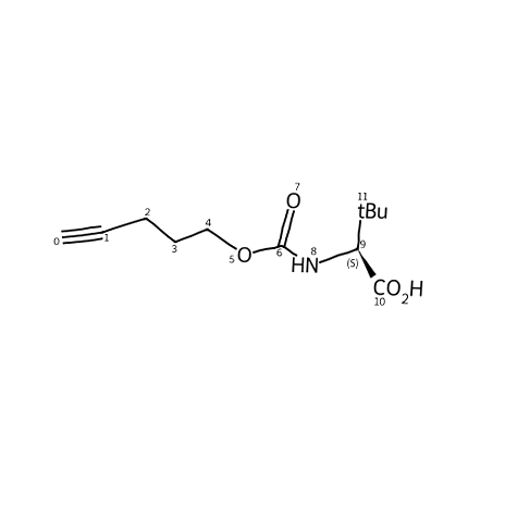 C#CCCCOC(=O)N[C@H](C(=O)O)C(C)(C)C